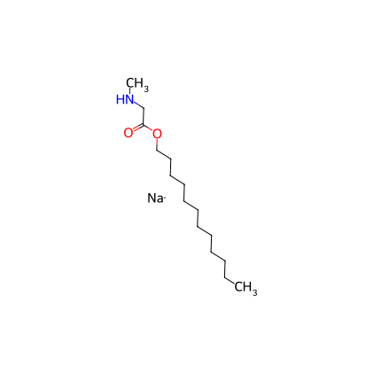 CCCCCCCCCCCCOC(=O)CNC.[Na]